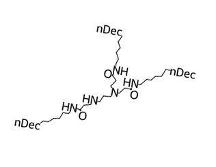 CCCCCCCCCCCCCCCCNC(=O)CCNCCCN(CCC(=O)NCCCCCCCCCCCCCCCC)CCC(=O)NCCCCCCCCCCCCCCCC